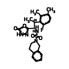 Cc1ccc(F)c([C@H](C)[C@H](NS(=O)(=O)N2CCc3ccccc3C2)c2n[nH]c(=O)o2)c1C